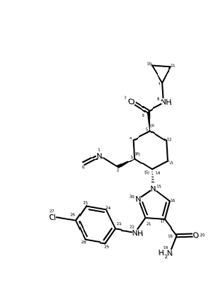 C=NC[C@H]1C[C@@H](C(=O)NC2CC2)CC[C@@H]1n1cc(C(N)=O)c(Nc2ccc(Cl)cc2)n1